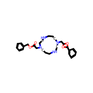 O=C(CN1CCCNCCN(CC2OC(c3ccccc3)O2)CCCNCC1)OCc1ccccc1